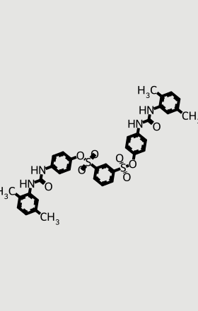 Cc1ccc(C)c(NC(=O)Nc2ccc(OS(=O)(=O)c3cccc(S(=O)(=O)Oc4ccc(NC(=O)Nc5cc(C)ccc5C)cc4)c3)cc2)c1